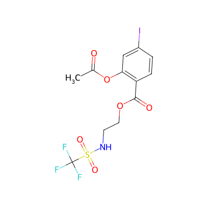 CC(=O)Oc1cc(I)ccc1C(=O)OCCNS(=O)(=O)C(F)(F)F